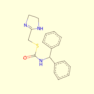 O=C(NC(c1ccccc1)c1ccccc1)SCC1=NCCN1